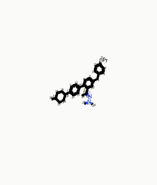 CCCc1ccc(Cc2ccc(-c3ccc(C4CCC(C)CC4)cc3)c(/C(C)=N/N(C)C)c2)cc1